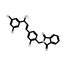 O=C1c2ccccc2C(=O)N1Cc1ccc(C=CC(c2cc(Cl)cc(Cl)c2)C(F)(F)F)cc1Cl